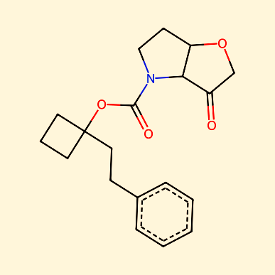 O=C1COC2CCN(C(=O)OC3(CCc4ccccc4)CCC3)C12